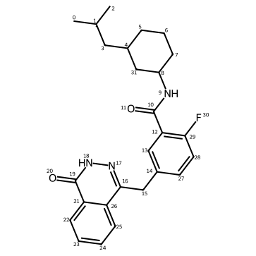 C[C](C)CC1CCCC(NC(=O)c2cc(Cc3n[nH]c(=O)c4ccccc34)ccc2F)C1